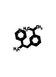 CC(C)c1cccc(CC(C)c2ccncc2)c1